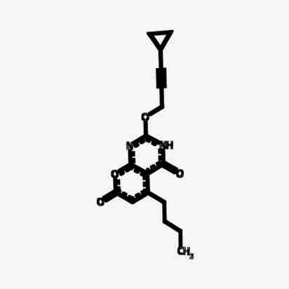 CCCCc1cc(=O)oc2nc(OCC#CC3CC3)[nH]c(=O)c12